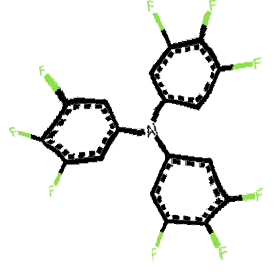 Fc1c[c]([Al]([c]2cc(F)c(F)c(F)c2)[c]2cc(F)c(F)c(F)c2)cc(F)c1F